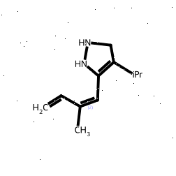 C=C/C(C)=C\C1=C(C(C)C)CNN1